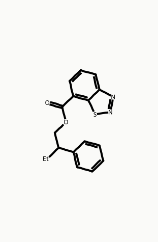 CCC(COC(=O)c1cccc2nnsc12)c1ccccc1